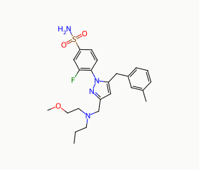 CCCN(CCOC)Cc1cc(Cc2cccc(C)c2)n(-c2ccc(S(N)(=O)=O)cc2F)n1